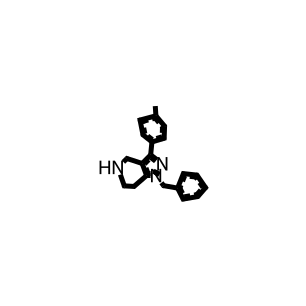 Cc1ccc(-c2nn(Cc3ccccc3)c3c2CNCC3)cc1